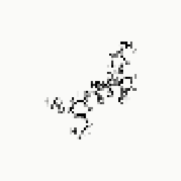 COc1cc(OC)nc(NC(=O)NS(=O)(=O)c2c(-c3cnn(C)n3)cnn2C)n1